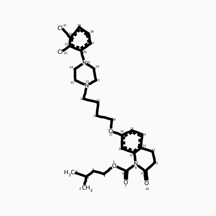 CC(C)CCOC(=O)N1C(=O)CCc2ccc(OCCCCN3CCN(c4cccc(Cl)c4Cl)CC3)cc21